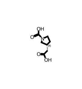 O=C(O)C[C@H]1CCN(C(=O)O)C1